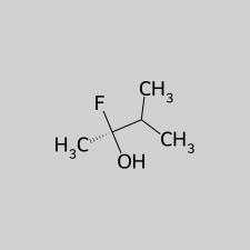 CC(C)[C@@](C)(O)F